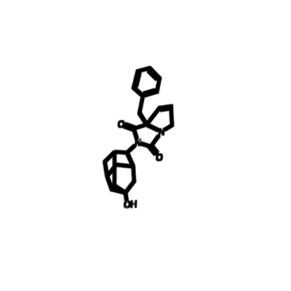 O=C1N(C2C3CC4CC2CC(O)(C4)C3)C(=O)C2(Cc3ccccc3)C=CCN12